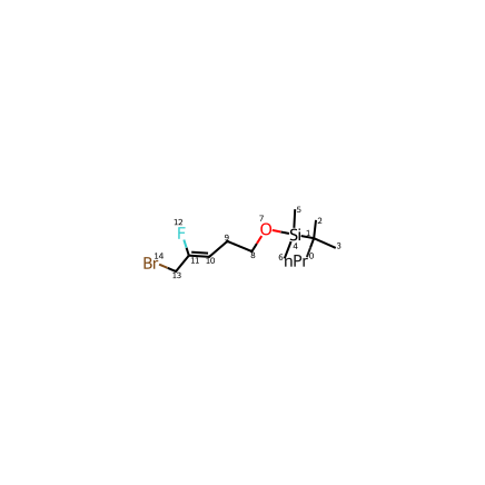 CCCC(C)(C)[Si](C)(C)OCC/C=C(\F)CBr